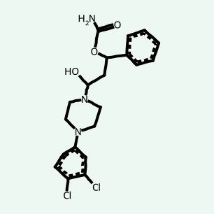 NC(=O)OC(CC(O)N1CCN(c2ccc(Cl)c(Cl)c2)CC1)c1ccccc1